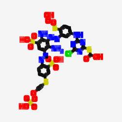 Nc1c(N=Nc2ccc(SC#COOS(=O)(=O)O)cc2S(=O)(=O)O)cc(S(=O)(=O)O)c(N)c1N=Nc1cc(Nc2nc(Cl)nc(SC(=O)O)n2)ccc1SOOO